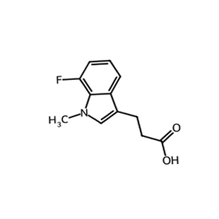 Cn1cc(CCC(=O)O)c2cccc(F)c21